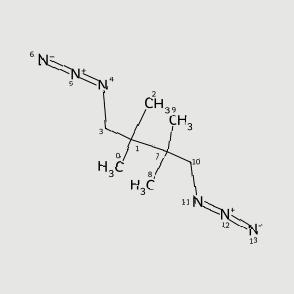 CC(C)(CN=[N+]=[N-])C(C)(C)CN=[N+]=[N-]